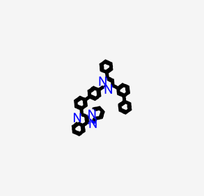 c1ccc(-c2cccc(-c3cc(-c4ccccc4)nc(-c4ccc(-c5cccc(-c6nc7ccccc7c7nc8ccccn8c67)c5)cc4)n3)c2)cc1